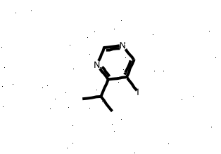 CC(C)c1ncncc1I